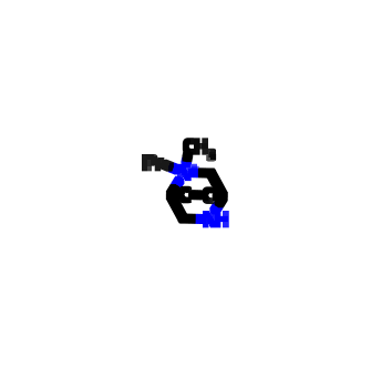 CC(C)[N+]1(C)CC2CCC1CN2